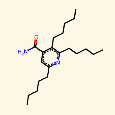 CCCCCc1cc(C(N)=O)c(CCCCC)c(CCCCC)n1